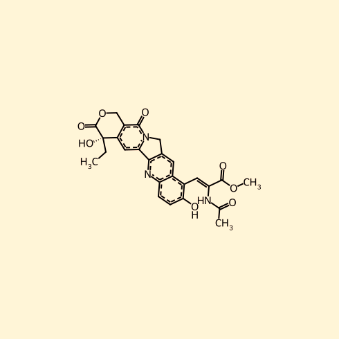 CC[C@@]1(O)C(=O)OCc2c1cc1n(c2=O)Cc2cc3c(C=C(NC(C)=O)C(=O)OC)c(O)ccc3nc2-1